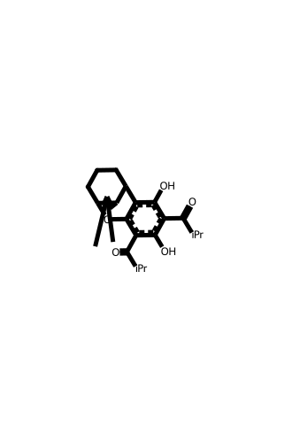 CC(C)C(=O)c1c(O)c(C(=O)C(C)C)c2c(c1O)C1CCCC3(O2)OC(C)(C)CC13